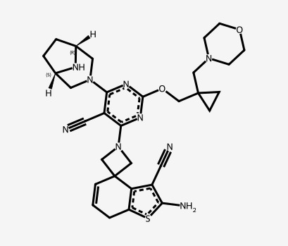 N#Cc1c(N2C[C@H]3CC[C@@H](C2)N3)nc(OCC2(CN3CCOCC3)CC2)nc1N1CC2(C=CCc3sc(N)c(C#N)c32)C1